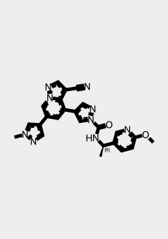 COc1ccc([C@@H](C)NC(=O)n2cc(-c3cc(-c4cnn(C)c4)cn4ncc(C#N)c34)cn2)cn1